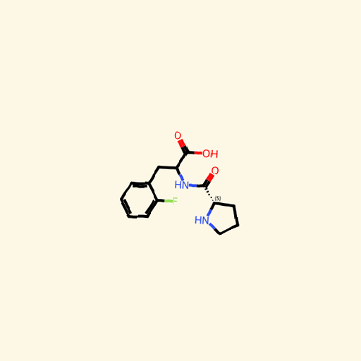 O=C(O)C(Cc1ccccc1F)NC(=O)[C@@H]1CCCN1